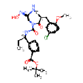 CC[C@@H](NC(=O)N1C/C(=N\O)NC[C@@H](Cc2cc(Cl)ccc2OC)C1=O)c1cccc(C(=O)OC(C)(C)C)c1